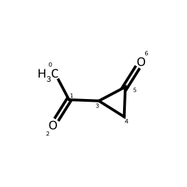 CC(=O)C1CC1=O